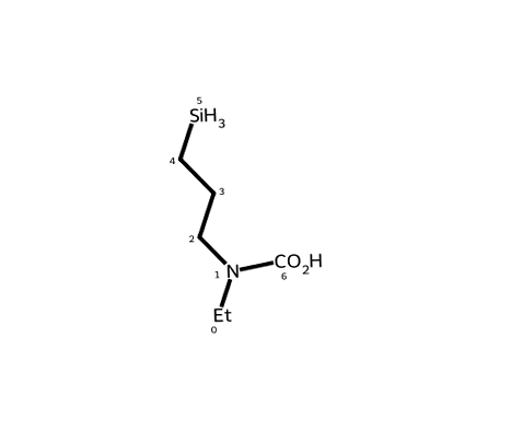 CCN(CCC[SiH3])C(=O)O